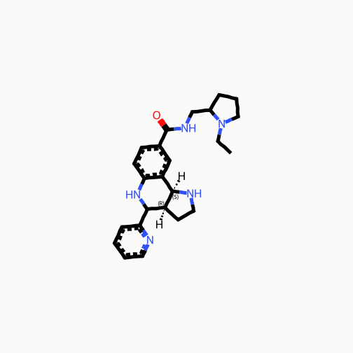 CCN1CCCC1CNC(=O)c1ccc2c(c1)[C@H]1NCC[C@H]1C(c1ccccn1)N2